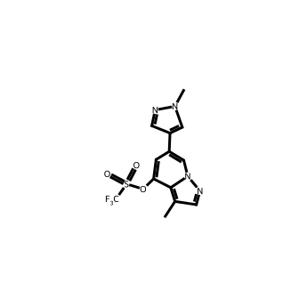 Cc1cnn2cc(-c3cnn(C)c3)cc(OS(=O)(=O)C(F)(F)F)c12